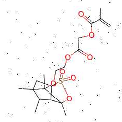 C=C(C)C(=O)OCC(=O)OCCOC1(C)C2(C)CC3C(C2C)C1(C)OS3(=O)=O